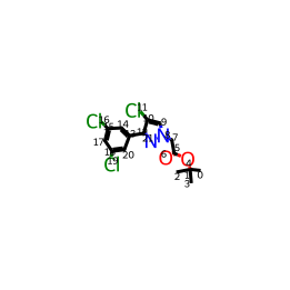 CC(C)(C)OC(=O)Cn1cc(Cl)c(-c2cc(Cl)cc(Cl)c2)n1